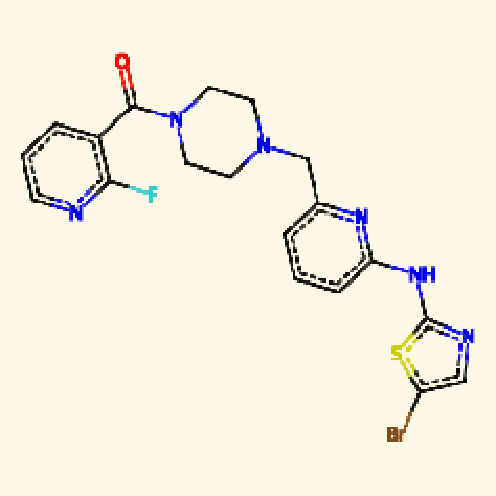 O=C(c1cccnc1F)N1CCN(Cc2cccc(Nc3ncc(Br)s3)n2)CC1